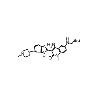 CCC(C)CNc1ccc2[nH]c(=O)c(-c3nc4ccc(N5CCN(C)CC5)cc4[nH]3)c(N)c2c1